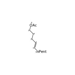 CCCCCC=CCCCOC(C)=O